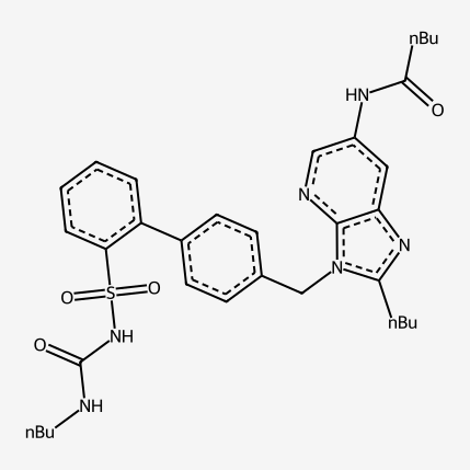 CCCCNC(=O)NS(=O)(=O)c1ccccc1-c1ccc(Cn2c(CCCC)nc3cc(NC(=O)CCCC)cnc32)cc1